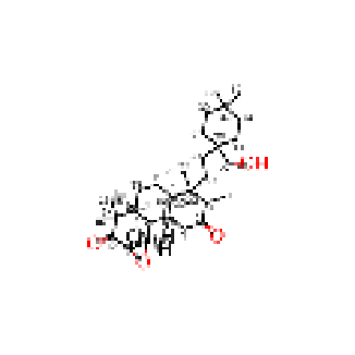 CC1C(=O)C[C@@H]2[C@@]3(C)[C@H]4O[C@@]4(C#N)C(=O)C(C)(C)[C@@H]3CC[C@@]2(C)[C@]1(C)CCC1(CO)CCC(C)(C)CC1